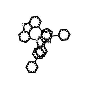 c1ccc(-c2ccc3c4ccccc4n(-c4cccc5oc6cccc(-c7nc(-c8ccccc8)nc(-c8ccccc8)n7)c6c45)c3c2)cc1